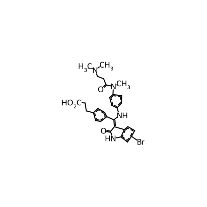 CN(C)CCC(=O)N(C)c1ccc(NC(=C2C(=O)Nc3cc(Br)ccc32)c2ccc(CCC(=O)O)cc2)cc1